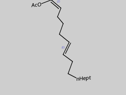 CCCCCCCCC/C=C/CCC/C=C\OC(C)=O